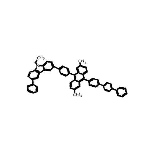 CCn1c2ccc(-c3ccccc3)cc2c2cc(-c3ccc(-c4c5ccc(C)cc5c(-c5ccc(-c6ccc(-c7ccccc7)cc6)cc5)c5ccc(C)cc45)cc3)ccc21